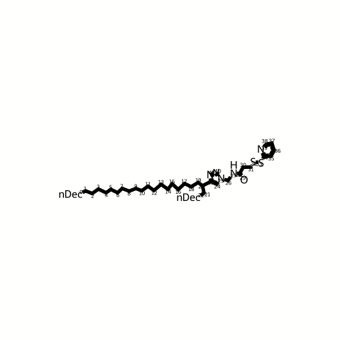 CCCCCCCCCCCCCCCCCCCCCCCCCCCCCC(CCCCCCCCCCC)c1cn(CNC(=O)CCSSc2ccccn2)nn1